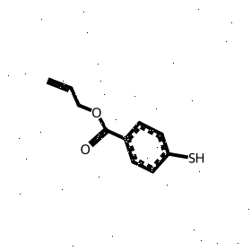 C=CCOC(=O)c1ccc(S)cc1